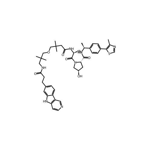 Cc1ncsc1-c1ccc([C@H](C)NC(=O)[C@@H]2C[C@@H](O)CN2C(=O)[C@@H](NC(=O)CC(C)(C)COCC(C)(C)CNC(=O)CCc2ccc3c(c2)[nH]c2ccncc23)C(C)(C)C)cc1